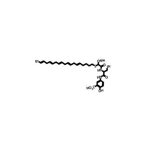 CCC=CCC=CCC=CCC=CCC=CCCCCSC(OC)C(=O)NC(CC(C)C)C(=O)Nc1ccc(O)c(C(=O)O)c1